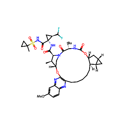 COc1ccc2nc3c(nc2c1)O[C@H]1CN(C(=O)[C@H](C(C)(C)C)NC(=O)O[C@@H]2C[C@@H]4C[C@@H]4[C@H]2CCCCC3)[C@H](C(=O)N[C@]2(C(=O)NS(=O)(=O)C3(C)CC3)C[C@H]2C(F)F)[C@@H]1C